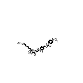 CNCCCCCC(=O)NC(C(=O)NCC(=O)Nc1ccc(COC(=O)Oc2ccc([N+](=O)[O-])cc2)cc1)C(C)C